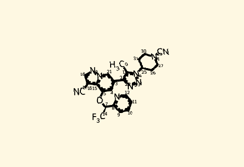 Cc1c(-c2cc(O[C@@H](c3ccccn3)C(F)(F)F)c3c(C#N)cnn3c2)nnn1C1CCN(C#N)CC1